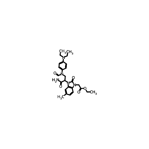 CCOC(=O)Cn1c(=O)n(C(CN(C=O)c2ccc(N(CC)CC)cc2)C(N)=O)c2cc(C)ccc21